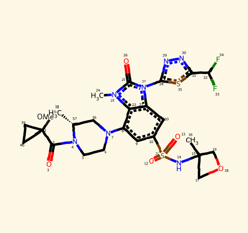 COC1(C(=O)N2CCN(c3cc(S(=O)(=O)NC4(C)COC4)cc4c3n(C)c(=O)n4-c3nnc(C(F)F)s3)C[C@H]2C)CC1